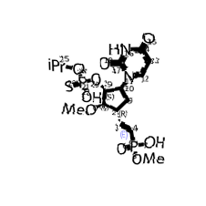 CO[C@@H]1[C@@H](/C=C/P(=O)(O)OC)CC(n2ccc(=O)[nH]c2=O)[C@@H]1OP(O)(=S)OC(C)C